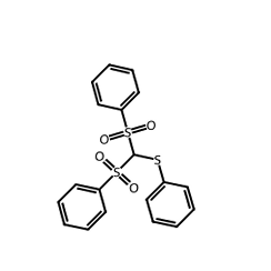 O=S(=O)(c1ccccc1)C(Sc1ccccc1)S(=O)(=O)c1ccccc1